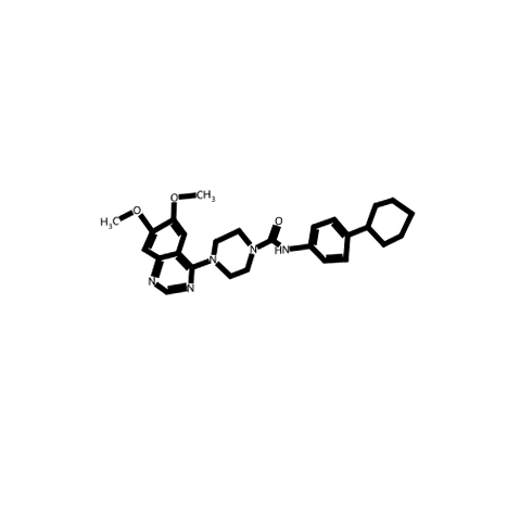 COc1cc2ncnc(N3CCN(C(=O)Nc4ccc(C5CCCCC5)cc4)CC3)c2cc1OC